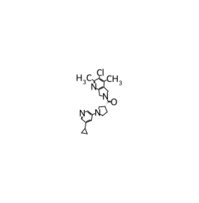 Cc1nc2c(c(C)c1Cl)CN(C(=O)[C@@H]1CCN(c3cncc(C4CC4)c3)C1)C2